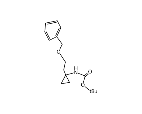 CC(C)(C)OC(=O)NC1(CCOCc2ccccc2)CC1